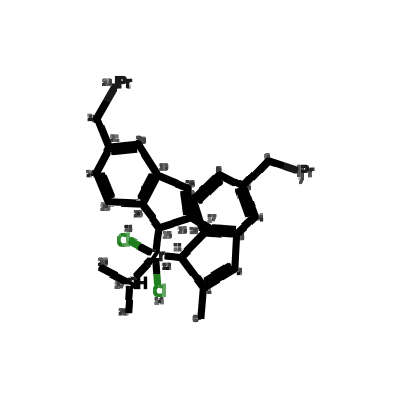 CC1=Cc2cc(CC(C)C)ccc2[CH]1[Zr]([Cl])([Cl])([CH]1C(C)=Cc2cc(CC(C)C)ccc21)[SiH](C)C